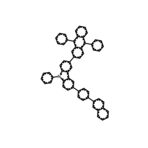 c1ccc(-c2c3ccccc3c(-c3ccccc3)c3cc(-c4ccc5c(c4)c4cc(-c6ccc(-c7ccc8ccccc8c7)cc6)ccc4n5-c4ccccc4)ccc23)cc1